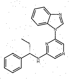 CC[C@H](Nc1cncc(-n2cnc3ccccc32)n1)c1ccccc1